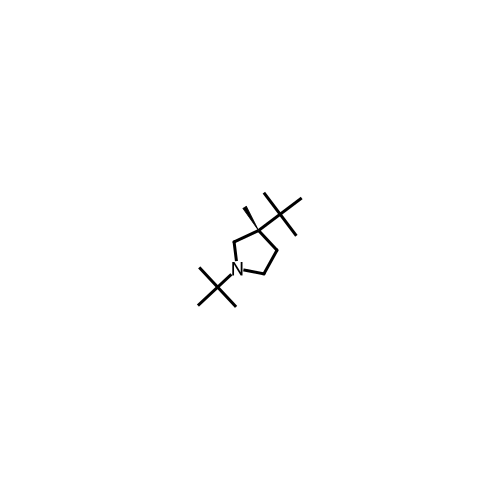 CC(C)(C)N1CC[C@@](C)(C(C)(C)C)C1